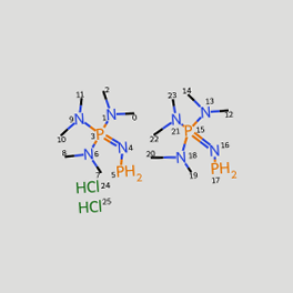 CN(C)P(=NP)(N(C)C)N(C)C.CN(C)P(=NP)(N(C)C)N(C)C.Cl.Cl